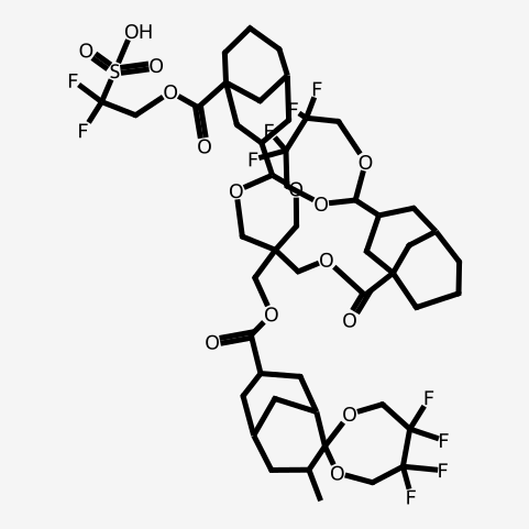 CC1CC2CC(C(=O)OCC3(COC(=O)C45CCCC(CC(C6OCC(F)(F)C(F)(F)CO6)C4)C5)COC(C4CC5CCCC(C(=O)OCC(F)(F)S(=O)(=O)O)(C5)C4)OC3)CC(C2)C12OCC(F)(F)C(F)(F)CO2